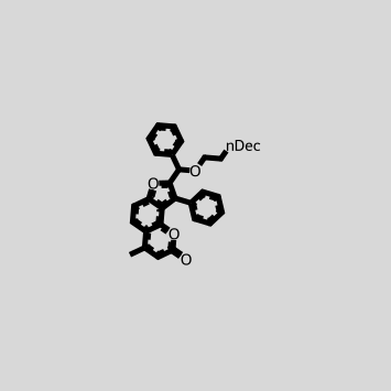 CCCCCCCCCCCCOC(c1ccccc1)c1oc2ccc3c(C)cc(=O)oc3c2c1-c1ccccc1